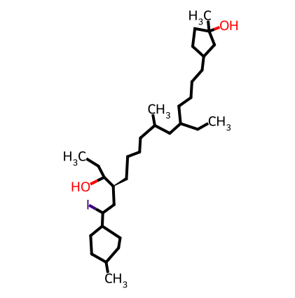 CCC(CCCCC1CCC(C)(O)C1)CC(C)CCCC[C@@H](CC(I)C1CCC(C)CC1)C(O)CC